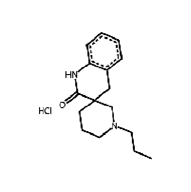 CCCN1CCCC2(Cc3ccccc3NC2=O)C1.Cl